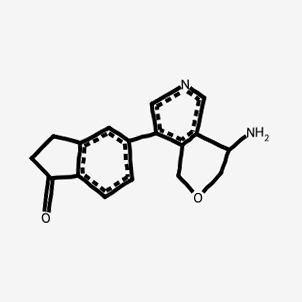 NC1COCc2c(-c3ccc4c(c3)CCC4=O)cncc21